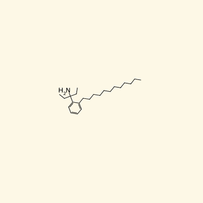 CCCCCCCCCCCCc1ccccc1C(N)(CC)CC